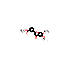 COC(=O)c1cccc(-c2cc(=O)c3cc(OC)c(OC)cc3o2)c1